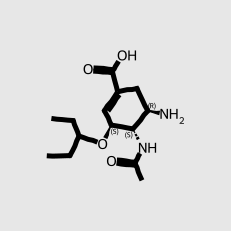 CCC(CC)O[C@H]1C=C(C(=O)O)C[C@@H](N)[C@@H]1NC(C)=O